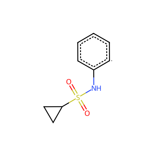 O=S(=O)(Nc1[c]cccc1)C1CC1